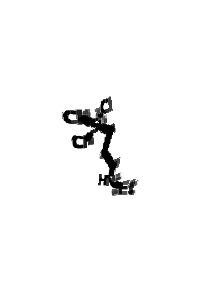 CCNCCC[Si](Cl)(Cl)Cl